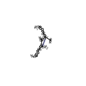 CC1(C)C(/C=C/C=C/C=C/C=C2\N(CCCCS(=O)(=O)[O-])c3ccc(C(=O)Oc4ccc5c(c4)CCC4C5CC[C@@]5(C)C4CC[C@@H]5O)cc3C2(C)C)=[N+](CCCC[SH](=O)=O)c2ccc(C(=O)Oc3ccc4c(c3)CCC3C4CC[C@@]4(C)C3CC[C@@H]4O)cc21